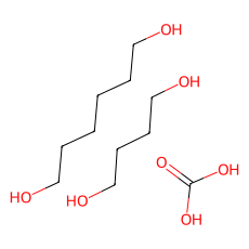 O=C(O)O.OCCCCCCO.OCCCCO